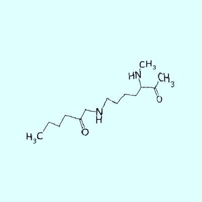 CCCCC(=O)CNCCCCC(NC)C(C)=O